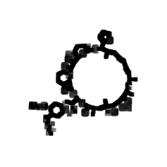 CO[C@@H]1C[C@H](C[C@@H](N)[C@@H]2CC(=O)[C@H](C)/C=C(\C)[C@@H](O)[C@@H](O)C(=O)[C@H](C)C[C@H](C)/C=C/C=C/C=C(\C)C(c3ccco3)C[C@@H]3CC[C@@H](C)[C@@](O)(O3)C(=O)C(=O)N3CCCC[C@H]3C(=O)O2)CCC1N=[N+]=[N-]